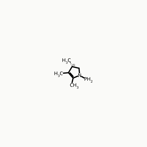 CC1=C(C)N(P)C[C@H]1C